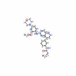 C=CC(=O)Nc1cccc(-c2ccnc3cnc(Nc4ccc(N5CCOCC5)nc4OC)nc23)c1